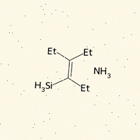 CCC([SiH3])=C(CC)CC.N